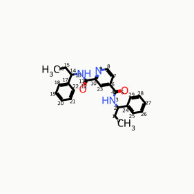 CCC(NC(=O)c1ccnc(C(=O)NC(CC)c2ccccc2)c1)c1ccccc1